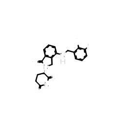 Cc1cccc(CNc2cccc3c2CN([C@@H]2CCC(=O)NC2=O)C3=O)c1F